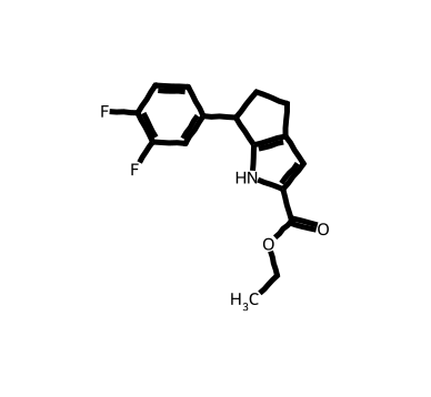 CCOC(=O)c1cc2c([nH]1)C(c1ccc(F)c(F)c1)CC2